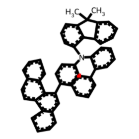 CC1(C)c2ccccc2-c2c(N(c3ccc(-c4cc5ccccc5c5ccc6ccccc6c45)cc3)c3ccccc3-c3ccccc3)cccc21